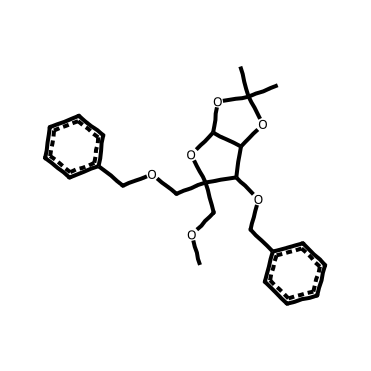 COCC1(COCc2ccccc2)OC2OC(C)(C)OC2C1OCc1ccccc1